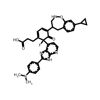 CN(C)c1ccc(-c2nc3c(C4(F)C(=O)C(C5CNOc6cc(C7CC7)ccc6C5)=CC=C4CCC(=O)O)ccnc3[nH]2)cc1